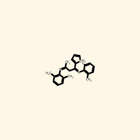 Cc1cccc(C)c1/N=C(/C/C(=N\c1c(C)cccc1C)C(F)(F)F)c1ccco1